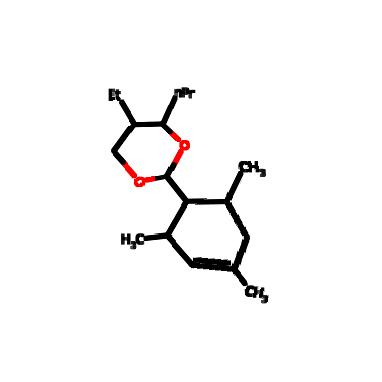 CCCC1OC(C2C(C)C=C(C)CC2C)OCC1CC